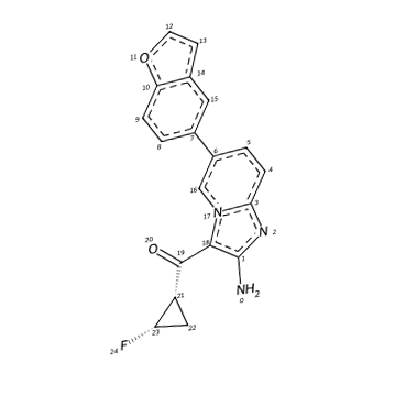 Nc1nc2ccc(-c3ccc4occc4c3)cn2c1C(=O)[C@@H]1C[C@@H]1F